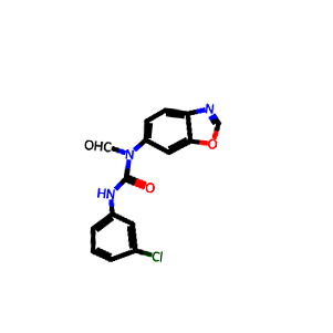 O=CN(C(=O)Nc1cccc(Cl)c1)c1ccc2ncoc2c1